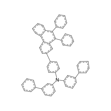 c1ccc(-c2cccc(N(c3ccc(-c4ccc5c(c4)c(-c4ccccc4)c(-c4ccccc4)c4ccccc45)cc3)c3cccc(-c4ccccc4)c3)c2)cc1